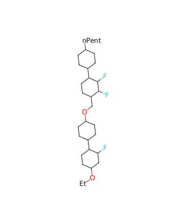 CCCCCC1CCC(C2CCC(COC3CCC(C4CCC(OCC)CC4F)CC3)C(F)C2F)CC1